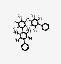 [2H]c1c(Oc2c([2H])c([2H])c(-c3ccccc3)c([2H])c2[2H])cc(-c2c([2H])c([2H])c(-c3ccccc3)c([2H])c2[2H])c([2H])c1I